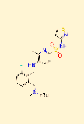 Cc1nc(S(=O)(=O)Nc2ccsn2)ccc1NCc1c(F)cccc1CN(C)C(C)(C)C